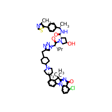 Cc1ncsc1-c1ccc([C@H](C)NC(=O)[C@@H]2C[C@@H](O)CN2C(=O)[C@H](C(C)C)n2cc(CC3CCC(N4CCC(c5cccc6c5C(C)(C)c5nc(=O)c7c(Cl)cccc7n5-6)CC4)CC3)nn2)cc1